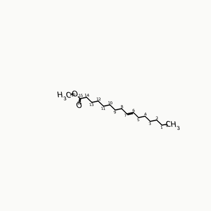 CCCCCCC=CCCCCCCCC(=O)OC